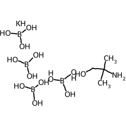 CC(C)(N)CO.OB(O)O.OB(O)O.OB(O)O.OB(O)O.[KH]